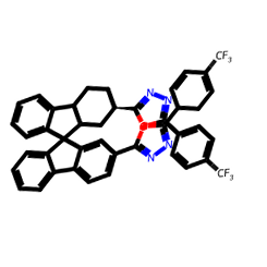 FC(F)(F)C1=CCC(c2nnc(-c3ccc4c(c3)C3(c5ccccc5-4)c4ccccc4C4CC[C@@H](c5nnc(-c6ccc(C(F)(F)F)cc6)o5)CC43)o2)C=C1